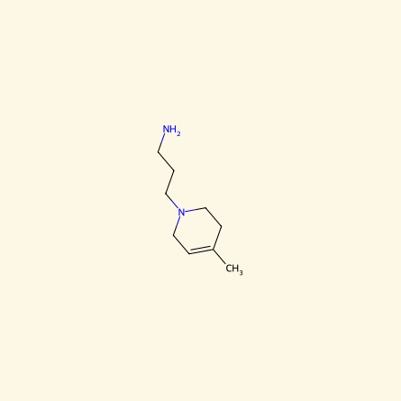 CC1=CCN(CCCN)CC1